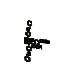 COc1cc(O)c(C(=O)C(OC(=O)c2ccc(OCc3ccccc3)cc2)C(=O)c2ccc(OCc3ccccc3)cc2)c(OC)c1